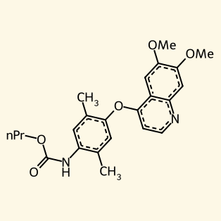 CCCOC(=O)Nc1cc(C)c(Oc2ccnc3cc(OC)c(OC)cc23)cc1C